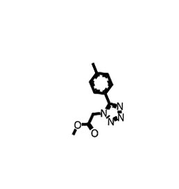 COC(=O)Cn1nnnc1-c1ccc(C)cc1